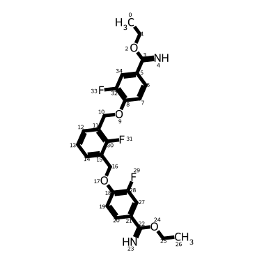 CCOC(=N)c1ccc(OCc2cccc(COc3ccc(C(=N)OCC)cc3F)c2F)c(F)c1